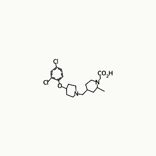 CC1CC(CN2CCC(Oc3ccc(Cl)cc3Cl)CC2)CCN1CC(=O)O